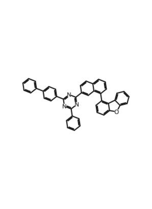 c1ccc(-c2ccc(-c3nc(-c4ccccc4)nc(-c4ccc5cccc(-c6cccc7oc8ccccc8c67)c5c4)n3)cc2)cc1